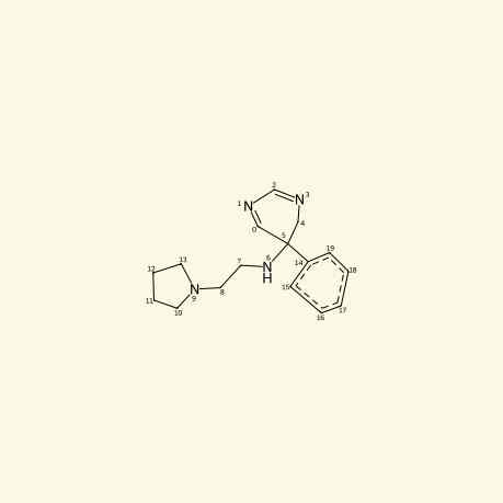 C1=NC=NCC1(NCCN1CCCC1)c1ccccc1